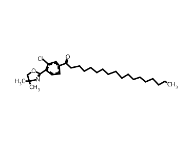 CCCCCCCCCCCCCCCCCC(=O)c1ccc(C2=NC(C)(C)CO2)c(Cl)c1